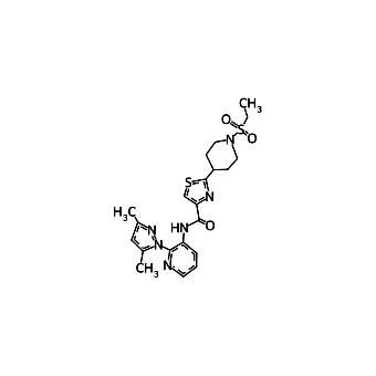 CCS(=O)(=O)N1CCC(c2nc(C(=O)Nc3cccnc3-n3nc(C)cc3C)cs2)CC1